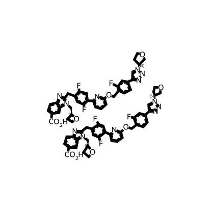 O=C(O)c1ccc2nc(Cc3cc(F)c(-c4cccc(OCc5ccc(-c6cn([C@H]7CCOC7)nn6)cc5F)n4)cc3F)n(C[C@@H]3CCO3)c2c1.O=C(O)c1ccc2nc(Cc3cc(F)c(-c4cccc(OCc5ccc(-c6cn([C@H]7CCOC7)nn6)cc5F)n4)cc3F)n(C[C@@H]3CCO3)c2c1